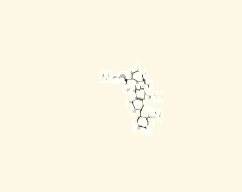 CCCCc1nc2cccc(C(=O)OC)c2n1Cc1ccc(-c2ccccc2C#N)cc1